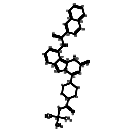 CC(C)(C)OC(=O)N1CCC(c2cc(=O)[nH]c3c4c(NC(=O)c5ccc6ccccc6c5)cccc4nn23)CC1